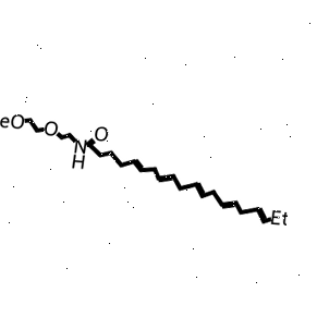 CCC=CCC=CCC=CCC=CCC=CCCCC(=O)NCCOCCOC